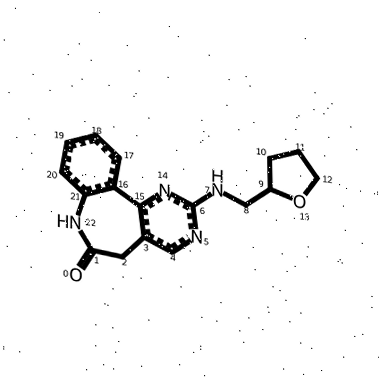 O=C1Cc2cnc(NCC3CCCO3)nc2-c2ccccc2N1